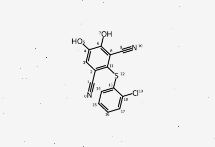 N#Cc1cc(O)c(O)c(C#N)c1Sc1ccccc1Cl